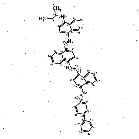 CCC(C)Nc1ccc(/N=N/c2ccc(NNc3ccc(/N=N/c4ccc(-c5ccccc5)cc4)c4ccccc34)c3ccccc23)c2ccccc12